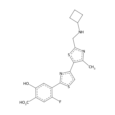 Cc1nc(CNC2CCC2)sc1-c1csc(-c2cc(O)c(C(=O)O)cc2F)n1